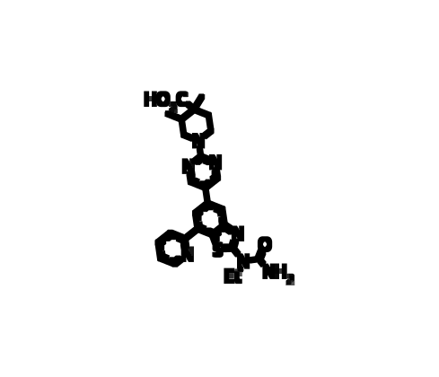 CCN(C(N)=O)c1nc2cc(-c3cnc(N4CCC(C)(C(=O)O)C(C)C4)nc3)cc(-c3ccccn3)c2s1